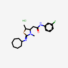 CC1S/C(=N\C2CCCCCC2)N(C)C1CC(=O)Nc1cccc(F)c1.Cl